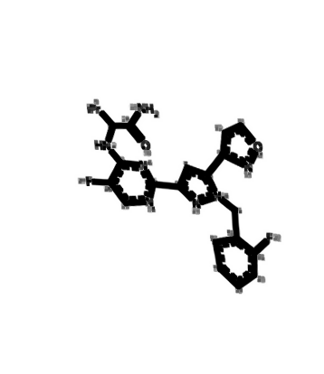 CC(C)C(Nc1nc(-c2cc(-c3ccon3)n(Cc3ccccc3F)n2)ncc1F)C(N)=O